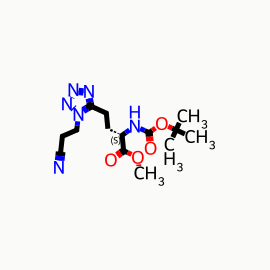 COC(=O)[C@H](CCc1nnnn1CCC#N)NC(=O)OC(C)(C)C